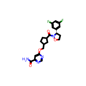 NC(=O)c1cc(OCC2CCC(C(=O)N3OCC[C@H]3c3cc(F)cc(F)c3)C2)ncn1